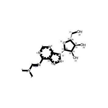 CN(C)/C=N/c1ncnc2c1nnn2[C@@H]1O[C@H](CO)[C@@H](O)[C@H]1O